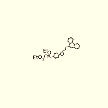 CCOC(=O)[C@H](Cc1ccc(OCC=Cc2cc3ccccc3c3ccccc23)cc1)OCC